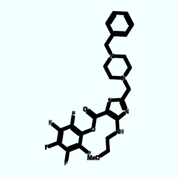 COCCNc1nc(CN2CCN(Cc3ccccc3)CC2)sc1C(=O)Oc1c(F)c(F)c(F)c(F)c1F